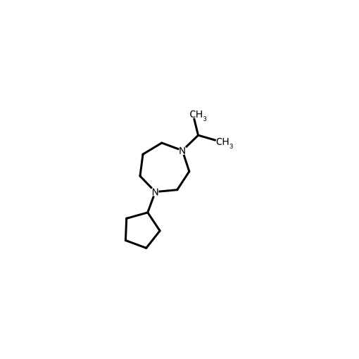 CC(C)N1CCCN(C2CCCC2)CC1